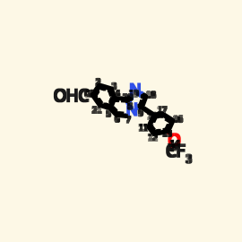 O=Cc1ccc2c(ccn3c(-c4ccc(OC(F)(F)F)cc4)cnc23)c1